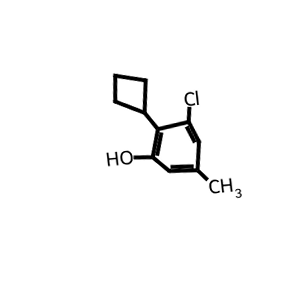 Cc1cc(O)c(C2CCC2)c(Cl)c1